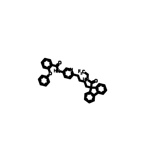 O=C(Nc1ccc(CCCCC2(C(=O)NCC(F)(F)F)c3ccccc3-c3ccccc32)nc1)c1ccccc1Oc1ccccc1